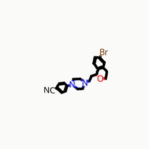 N#Cc1ccc(N2CCN(CCC3OCCc4cc(Br)ccc43)CC2)cc1